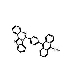 Bc1c2ccccc2c(-c2ccc(-c3nc4ccccc4c4nc5ccccc5n34)cc2)c2ccccc12